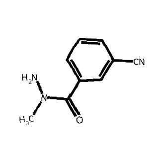 CN(N)C(=O)c1cccc(C#N)c1